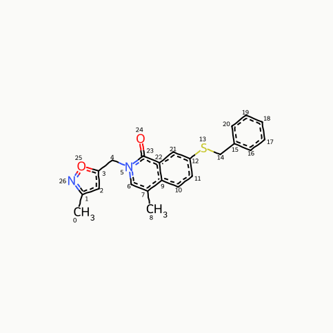 Cc1cc(Cn2cc(C)c3ccc(SCc4ccccc4)cc3c2=O)on1